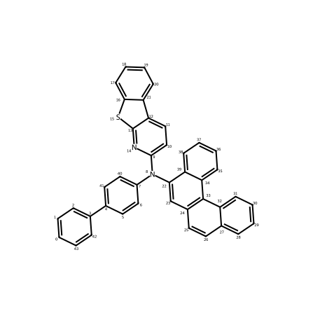 c1ccc(-c2ccc(N(c3ccc4c(n3)sc3ccccc34)c3cc4ccc5ccccc5c4c4ccccc34)cc2)cc1